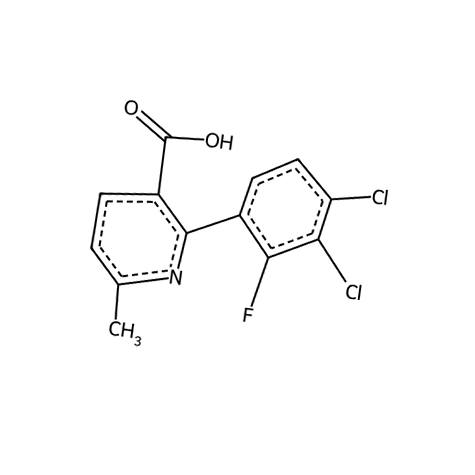 Cc1ccc(C(=O)O)c(-c2ccc(Cl)c(Cl)c2F)n1